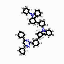 c1ccc(-c2cc(-c3ccccc3)nc(-c3cccc(-c4ccc5c(c4)c4ccccc4n5-c4cccc(-c5cccc6c5c5ccccc5n6-c5ccccc5)c4)c3)n2)cc1